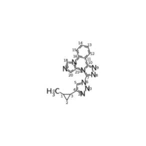 CC1CC1c1cn(-c2nnc3c4ccccc4n4cncc4n23)nn1